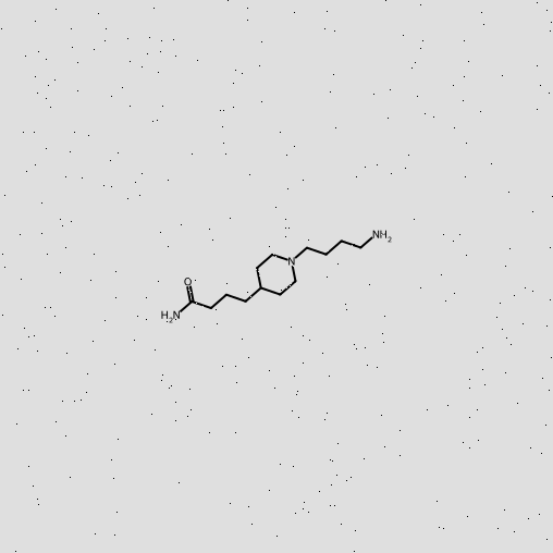 NCCCCN1CCC(CCCC(N)=O)CC1